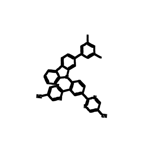 Cc1cc(C)cc(-c2ccc3c4ccccc4n(-c4ccc(-c5ncc(C#N)cn5)cc4-c4ncc(C#N)cn4)c3c2)c1